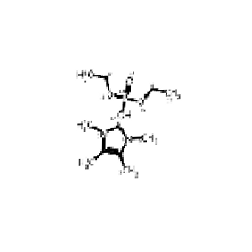 CC1=C(C)N(C)CN1C.CCOP(=O)(O)OCC